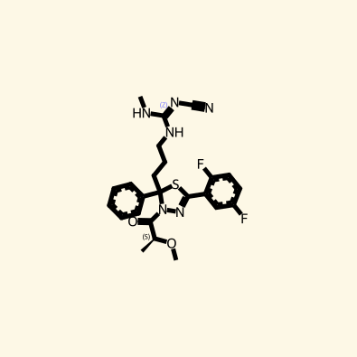 CN/C(=N/C#N)NCCCC1(c2ccccc2)SC(c2cc(F)ccc2F)=NN1C(=O)[C@H](C)OC